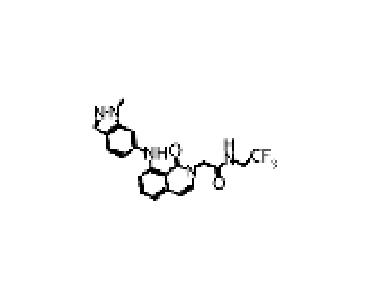 Cn1ncc2ccc(Nc3cccc4ccn(CC(=O)NCC(F)(F)F)c(=O)c34)cc21